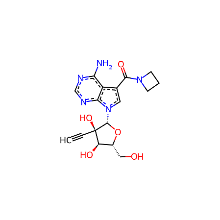 C#C[C@@]1(O)[C@H](O)[C@@H](CO)O[C@H]1n1cc(C(=O)N2CCC2)c2c(N)ncnc21